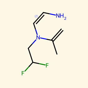 C=C(C)N(/C=C\N)CC(F)F